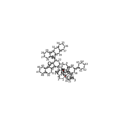 CC1C/C=C(n2c3ccccc3c3ccccc32)/N=C(c2ccc(-n3c4ccccc4c4cc5ccccc5cc43)c3oc4c5ccccc5ccc4c23)\N=C/1c1ccc(-c2ccccc2)cc1